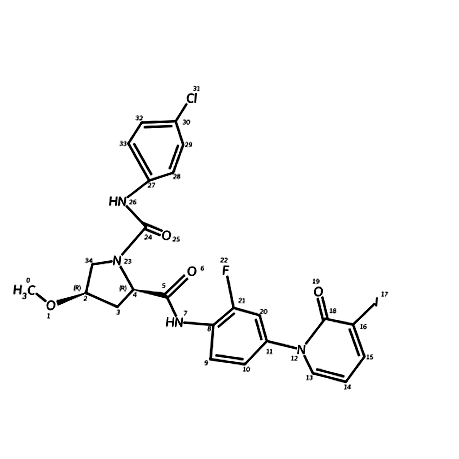 CO[C@@H]1C[C@H](C(=O)Nc2ccc(-n3cccc(I)c3=O)cc2F)N(C(=O)Nc2ccc(Cl)cc2)C1